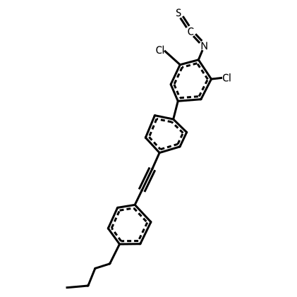 CCCCc1ccc(C#Cc2ccc(-c3cc(Cl)c(N=C=S)c(Cl)c3)cc2)cc1